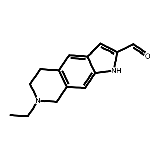 CCN1CCc2cc3cc(C=O)[nH]c3cc2C1